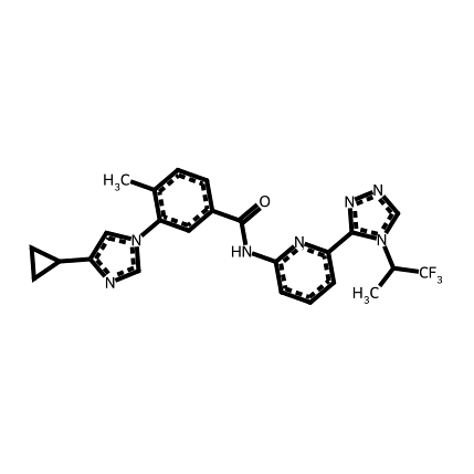 Cc1ccc(C(=O)Nc2cccc(-c3nncn3C(C)C(F)(F)F)n2)cc1-n1cnc(C2CC2)c1